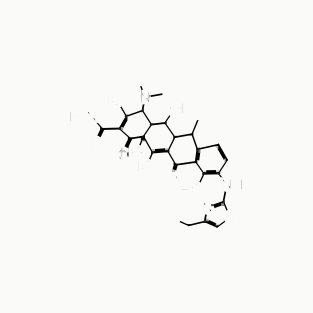 CCc1csc(Nc2ccc3c(c2O)C(=O)C2=C(O)C4(O)C(=O)C(C(N)=O)=C(O)C(N(C)C)C4C(O)C2C3C)n1